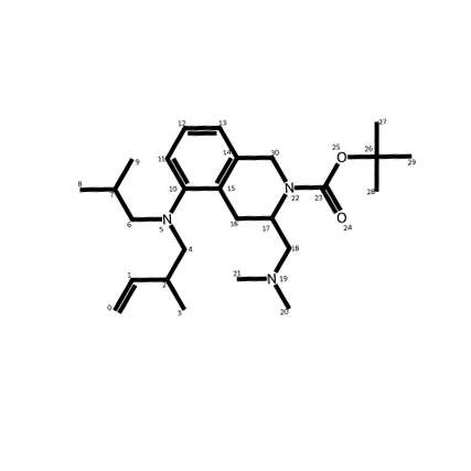 C=CC(C)CN(CC(C)C)c1cccc2c1CC(CN(C)C)N(C(=O)OC(C)(C)C)C2